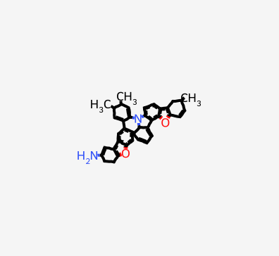 CC1C=Cc2oc3c4c(ccc3c2C1)N(C1=CC(C)C(C)C=C1c1ccc2oc3c(c2c1)C=C(N)CC3)C1CC=CC=C41